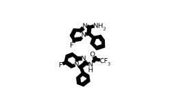 Nc1nc2ccc(F)cn2c1-c1ccccc1.O=C(Nc1nc2ccc(F)cn2c1-c1ccccc1)C(F)(F)F